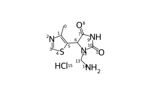 Cc1ncsc1C1C(=O)NC(=O)N1CN.Cl